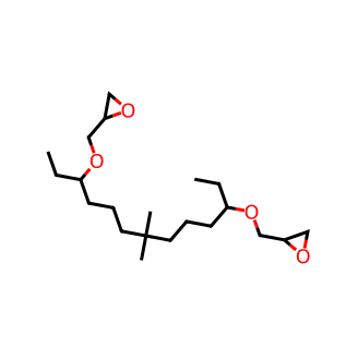 CCC(CCCC(C)(C)CCCC(CC)OCC1CO1)OCC1CO1